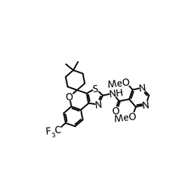 COc1ncnc(OC)c1C(=O)Nc1nc2c(s1)C1(CCC(C)(C)CC1)Oc1cc(C(F)(F)F)ccc1-2